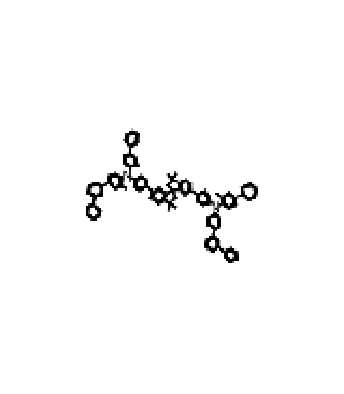 Cc1cc(-c2ccccc2)ccc1N(c1ccc(-c2cccc(-c3ccccc3)c2)cc1)c1ccc(-c2ccc3c(c2)C2(CC3(C)C)CC(C)(C)c3ccc(-c4ccc(N(c5ccc(-c6ccccc6)cc5)c5ccc(-c6cccc(-c7ccccc7)c6)cc5C)cc4)cc32)cc1